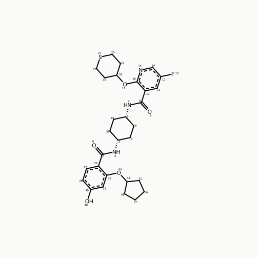 O=C(N[C@H]1CC[C@@H](NC(=O)c2cc(F)cnc2OC2CCSCC2)CC1)c1ccc(O)cc1OC1CCCC1